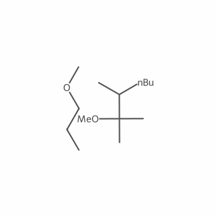 CCCCC(C)C(C)(C)OC.CCCOC